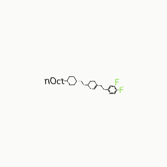 CCCCCCCC[C@H]1CC[C@H](CCC2CC=C(CCc3ccc(F)c(F)c3)CC2)CC1